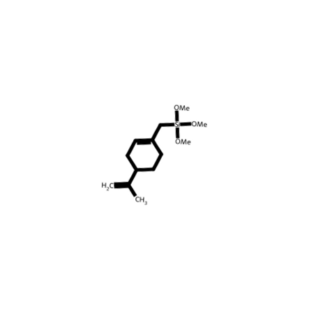 C=C(C)C1CC=C(C[Si](OC)(OC)OC)CC1